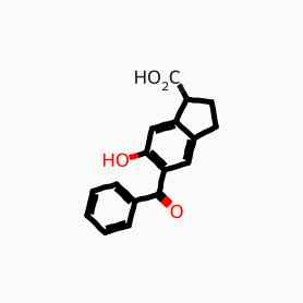 O=C(c1ccccc1)c1cc2c(cc1O)C(C(=O)O)CC2